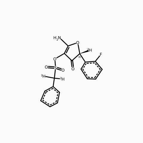 [2H]C([2H])(c1ccccc1)S(=O)(=O)OC1=C(N)O[C@]([2H])(c2ccccc2F)C1=O